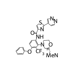 CNC[C@@H]1CN(c2c(NC(=O)c3csc(-c4ccnnc4)n3)ccc(Oc3ccccc3)c2C(F)(F)F)CCO1